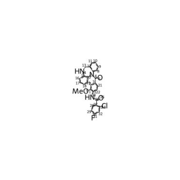 COc1cc(C(=O)N2c3ccccc3CNc3ccccc32)ccc1NC(=O)c1ccc(F)cc1Cl